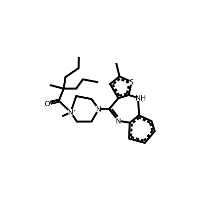 CCCC(C)(CCC)C(=O)[N+]1(C)CCN(C2=Nc3ccccc3Nc3sc(C)cc32)CC1